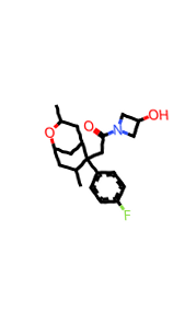 CC1CC2CC(CC(C)C2(CC(=O)N2CC(O)C2)c2ccc(F)cc2)O1